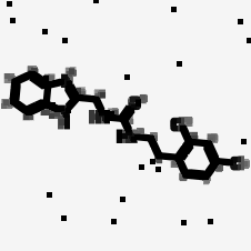 O=C(NCCc1ccc(Cl)cc1Cl)NCc1nc2ccccc2[nH]1